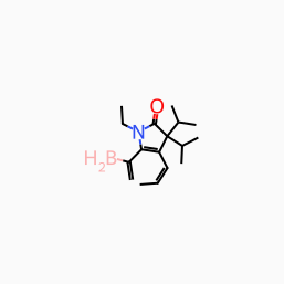 BC(=C)C1=C(/C=C\C)C(C(C)C)(C(C)C)C(=O)N1CC